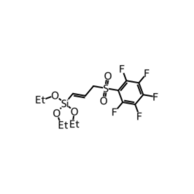 CCO[Si](/C=C/CS(=O)(=O)c1c(F)c(F)c(F)c(F)c1F)(OCC)OCC